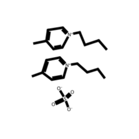 CCCC[n+]1ccc(C)cc1.CCCC[n+]1ccc(C)cc1.O=S(=O)([O-])[O-]